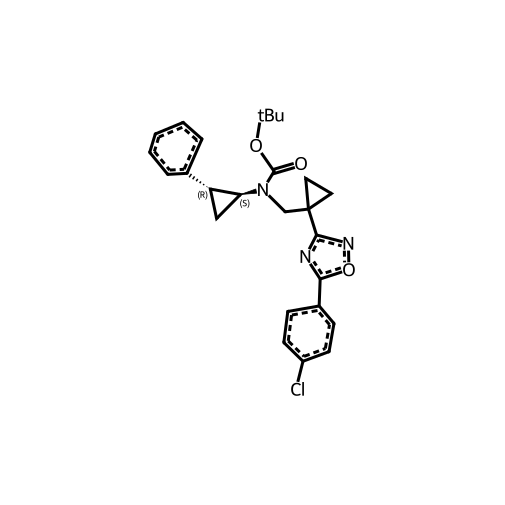 CC(C)(C)OC(=O)N(CC1(c2noc(-c3ccc(Cl)cc3)n2)CC1)[C@H]1C[C@@H]1c1ccccc1